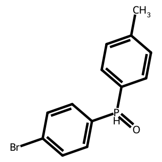 Cc1ccc([PH](=O)c2ccc(Br)cc2)cc1